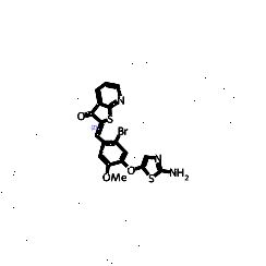 COc1cc(/C=C2\Sc3ncccc3C2=O)c(Br)cc1Oc1cnc(N)s1